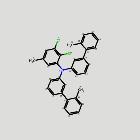 Cc1cc(Cl)c(Cl)c(N(c2cccc(-c3ccccc3C)c2)c2cccc(-c3ccccc3C)c2)c1